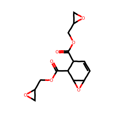 O=C(OCC1CO1)C1C=CC2OC2C1C(=O)OCC1CO1